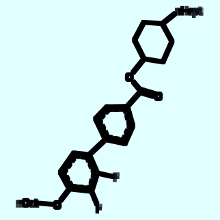 CCCCCCCCOc1ccc(-c2ccc(C(=O)OC3CCC(CCCCCCC)CC3)cc2)c(F)c1F